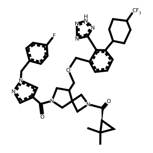 CC1(C)C[C@@H]1C(=O)N1CC2(CN(C(=O)c3cnn(Cc4ccc(F)cc4)c3)CC2COCc2cccc(C3CCC(C(F)(F)F)CC3)c2-c2nn[nH]n2)C1